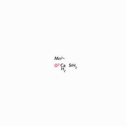 [CaH2].[Mn+2].[O-2].[SrH2]